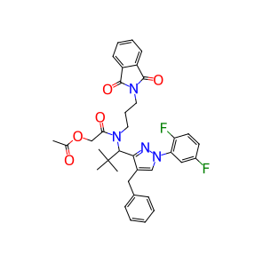 CC(=O)OCC(=O)N(CCCN1C(=O)c2ccccc2C1=O)C(c1nn(-c2cc(F)ccc2F)cc1Cc1ccccc1)C(C)(C)C